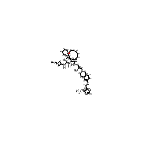 CC(=O)N1CC(NC2NC(C(=O)NC[C@H](O)CN3CCc4cc(OCc5ocnc5C)ccc4C3)C3(CCCCCCCCC3)C(N3CCCCC3)N2)C1